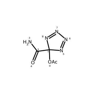 CC(=O)OC1(C(N)=O)N=NN=N1